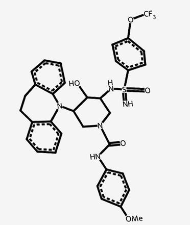 COc1ccc(NC(=O)N2CC(NS(=N)(=O)c3ccc(OC(F)(F)F)cc3)C(O)C(N3c4ccccc4CCc4ccccc43)C2)cc1